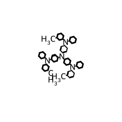 CC1=CC(N(c2ccccc2)c2ccc(N(C3=CCC(N(c4ccccc4)c4cccc(C)c4)C=C3)c3c#cc(N(c4ccccc4)c4cccc(C)c4)cc3)cc2)CC=C1